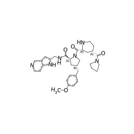 COc1ccc(C[C@@H]2C[C@@H](C(=O)NCc3cc4cnccc4[nH]3)N(C(=O)[C@H]3C[C@@H](C(=O)N4CCCC4)CCN3)C2)cc1